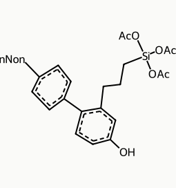 CCCCCCCCCc1ccc(-c2ccc(O)cc2CCC[Si](OC(C)=O)(OC(C)=O)OC(C)=O)cc1